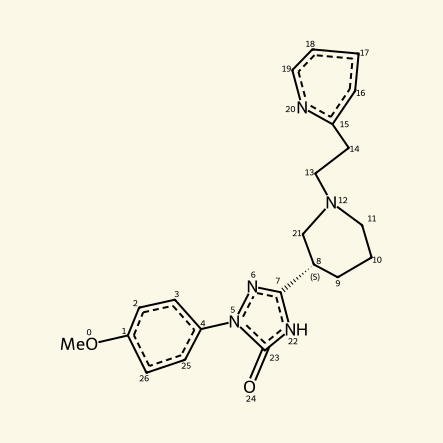 COc1ccc(-n2nc([C@H]3CCCN(CCc4ccccn4)C3)[nH]c2=O)cc1